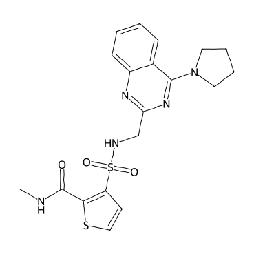 CNC(=O)c1sccc1S(=O)(=O)NCc1nc(N2CCCC2)c2ccccc2n1